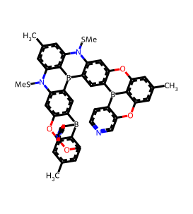 CSN1c2cc3c(cc2B2c4cc5c(cc4N(SC)c4cc(C)cc1c42)Oc1cc(C)cc2c1B5c1ccncc1O2)B1c2ccncc2Oc2cc(C)cc(c21)O3